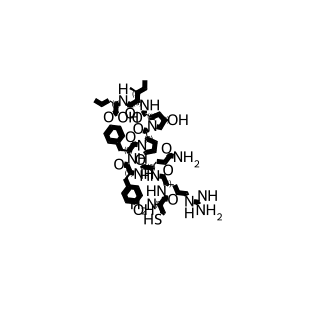 CCC[C@H](NC(=O)[C@@H](NC(=O)[C@@H]1C[C@@H](O)CN1C(=O)[C@@H]1CCCN1C(=O)[C@H](Cc1ccccc1)NC(=O)[C@H](Cc1ccc(O)cc1)NC(=O)[C@H](CCC(N)=O)NC(=O)[C@H](CCCNC(=N)N)NC(=O)[C@@H](N)CS)[C@@H](C)CC)C(=O)O